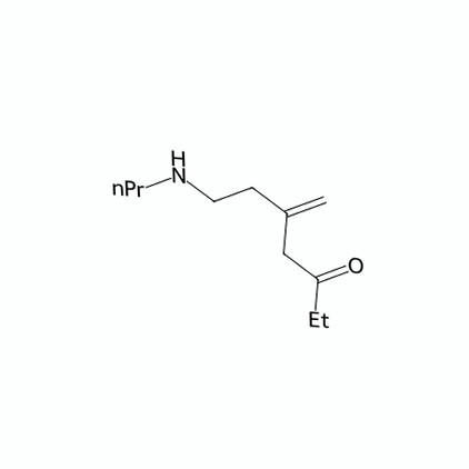 C=C(CCNCCC)CC(=O)CC